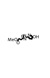 COC(=O)CCc1nc(-c2ccc(O)cn2)no1